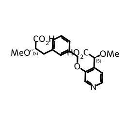 CO[C@@H](Cc1cccc(COc2cnccc2[C@H](OC)C(=O)O)c1)C(=O)O